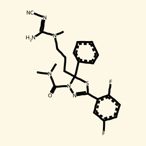 CN(C)C(=O)N1N=C(c2cc(F)ccc2F)SC1(CCCN(C)/C(N)=N/C#N)c1ccccc1